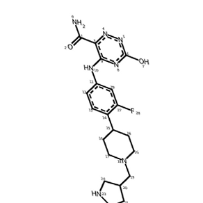 NC(=O)c1nnc(O)nc1Nc1ccc(C2CCN(CC3CCNC3)CC2)c(F)c1